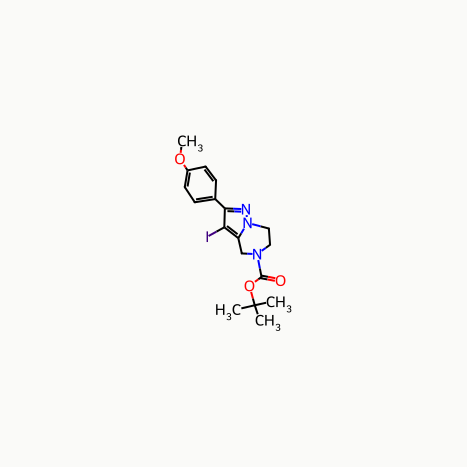 COc1ccc(-c2nn3c(c2I)CN(C(=O)OC(C)(C)C)CC3)cc1